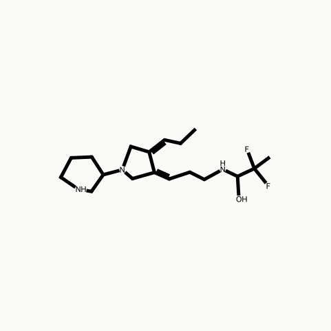 CC/C=C1/CN(C2CCCNC2)C/C1=C/CCNC(O)C(C)(F)F